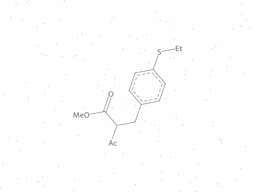 CCSc1ccc(CC(C(C)=O)C(=O)OC)cc1